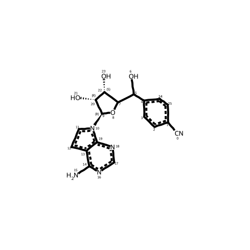 N#Cc1ccc(C(O)C2O[C@@H](n3ccc4c(N)ncnc43)[C@H](O)[C@@H]2O)cc1